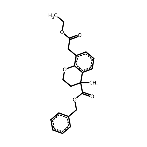 CCOC(=O)Cc1cccc2c1OCCC2(C)C(=O)OCc1ccccc1